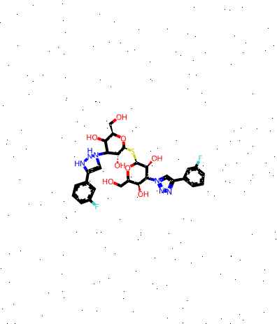 OCC1O[C@@H](S[C@@H]2O[C@H](CO)C(O)C(N3C=C(c4cccc(F)c4)NN3)[C@H]2O)[C@@H](O)C(n2cc(-c3cccc(F)c3)nn2)[C@H]1O